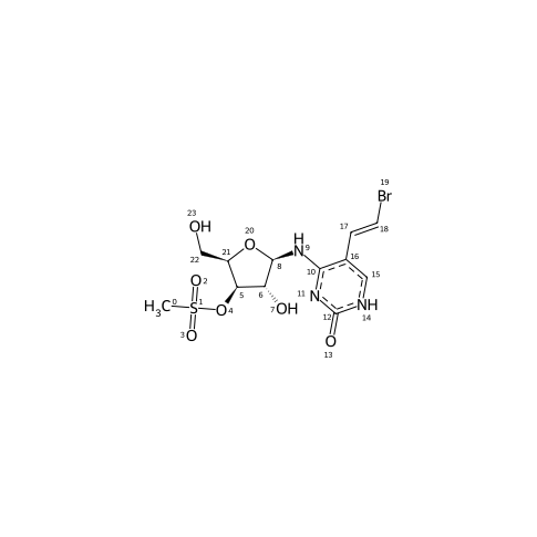 CS(=O)(=O)O[C@@H]1[C@@H](O)[C@H](Nc2nc(=O)[nH]cc2C=CBr)O[C@@H]1CO